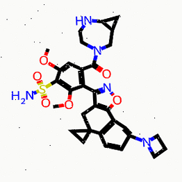 COc1cc(C(=O)N2CCNC3CC3C2)c(-c2noc3c2CC2(CC2)c2ccc(N4CCC4)cc2-3)c(OC)c1S(N)(=O)=O